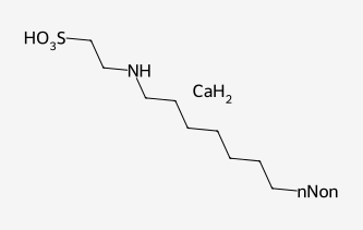 CCCCCCCCCCCCCCCCNCCS(=O)(=O)O.[CaH2]